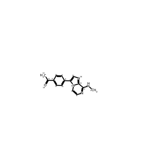 CNc1nccn2c(-c3ccc(C(C)=O)cc3)cnc12